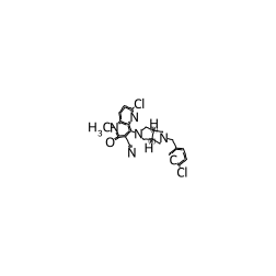 Cn1c(=O)c(C#N)c(N2C[C@H]3CN(Cc4ccc(Cl)cc4)C[C@@H]3C2)c2nc(Cl)ccc21